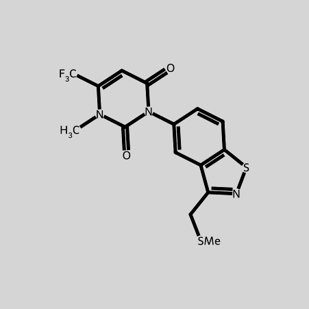 CSCc1nsc2ccc(-n3c(=O)cc(C(F)(F)F)n(C)c3=O)cc12